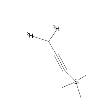 [2H]C([2H])C#C[Si](C)(C)C